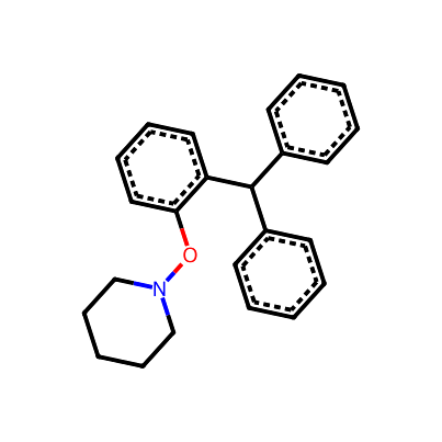 c1ccc(C(c2ccccc2)c2ccccc2ON2CCCCC2)cc1